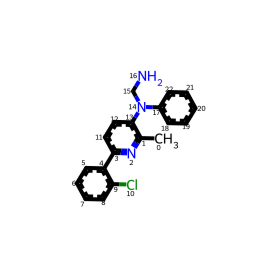 Cc1nc(-c2ccccc2Cl)ccc1N(CN)c1ccccc1